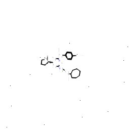 CCN1CCCC1CNC(=N/CNC1CCCCCC1)/N=C(\N)Nc1ccc(C)cc1